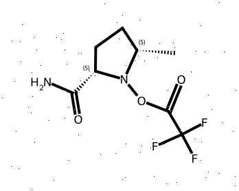 C[C@H]1CC[C@@H](C(N)=O)N1OC(=O)C(F)(F)F